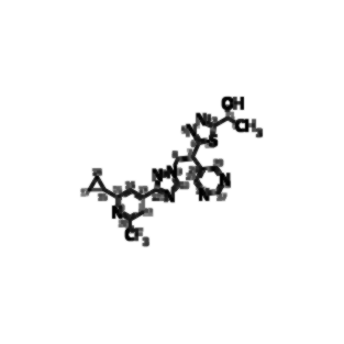 CC(O)c1nnc(C(=Cn2cnc(-c3cc(C4CC4)nc(C(F)(F)F)c3)n2)c2cncnc2)s1